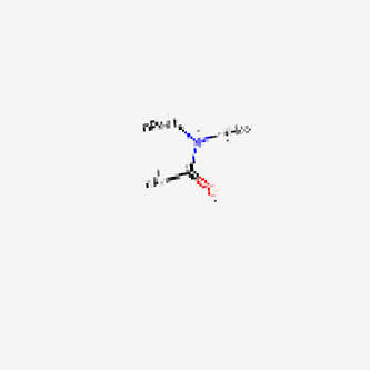 CCCCCCN(CCCCC)C(=O)CCC